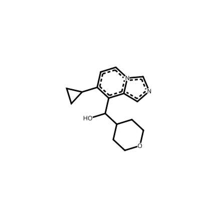 OC(c1c(C2CC2)ccn2cncc12)C1CCOCC1